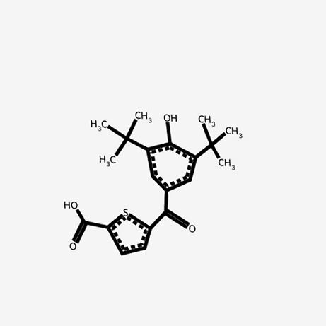 CC(C)(C)c1cc(C(=O)c2ccc(C(=O)O)s2)cc(C(C)(C)C)c1O